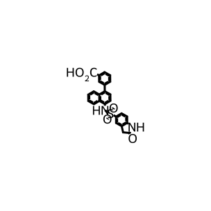 O=C1Cc2cc(S(=O)(=O)Nc3ccc(-c4cccc(C(=O)O)c4)c4ccccc34)ccc2N1